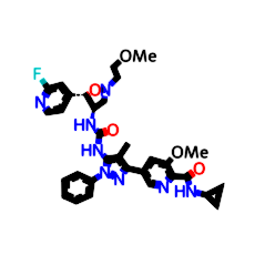 COCCN1C[C@@H](NC(=O)Nc2c(C)c(-c3cnc(C(=O)NC4CC4)c(OC)c3)nn2-c2ccccc2)[C@H](c2ccnc(F)c2)O1